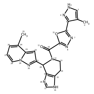 Cc1c[nH]nc1-c1nnc(C(=O)N2CCc3[nH]cnc3C2c2cc3c(C)cccn3n2)o1